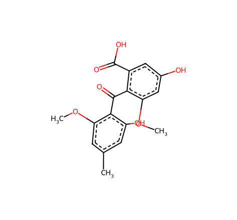 COc1cc(C)cc(O)c1C(=O)c1c(OC)cc(O)cc1C(=O)O